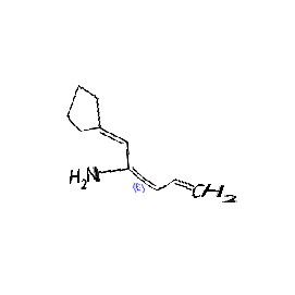 C=C/C=C(/N)C=C1CCCC1